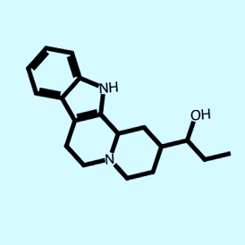 CCC(O)C1CCN2CCc3c([nH]c4ccccc34)C2C1